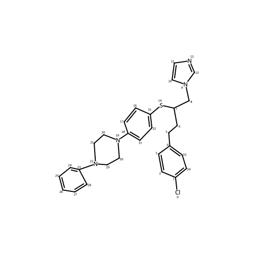 Clc1ccc(CCC(Cn2ccnc2)Sc2ccc(N3CCN(c4ccccc4)CC3)cc2)cc1